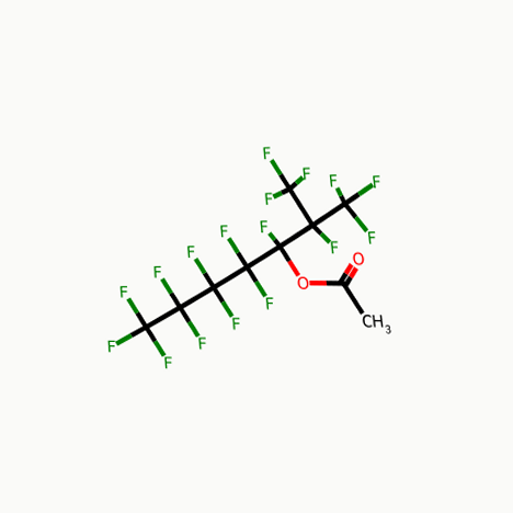 CC(=O)OC(F)(C(F)(F)C(F)(F)C(F)(F)C(F)(F)F)C(F)(C(F)(F)F)C(F)(F)F